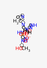 C=Cc1ccccc1[C@@H]1CCCN1C1CC2(CCN(c3ccc(C(=O)NS(=O)(=O)c4ccc(NCC5CCC(C)(O)CC5)c([N+](=O)[O-])c4)c(N4c5cc6cc[nH]c6nc5O[C@H]5COC[C@@H]54)c3)CC2)C1